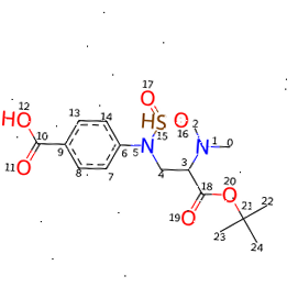 CN(C)C(CN(c1ccc(C(=O)O)cc1)[SH](=O)=O)C(=O)OC(C)(C)C